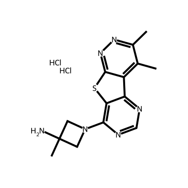 Cc1nnc2sc3c(N4CC(C)(N)C4)ncnc3c2c1C.Cl.Cl